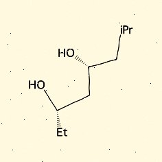 CC[C@H](O)C[C@H](O)CC(C)C